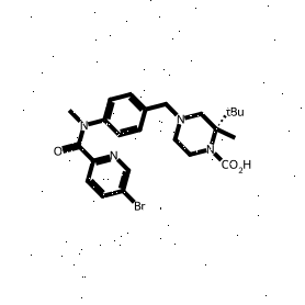 CN(C(=O)c1ccc(Br)cn1)c1ccc(CN2CCN(C(=O)O)[C@@](C)(C(C)(C)C)C2)cc1